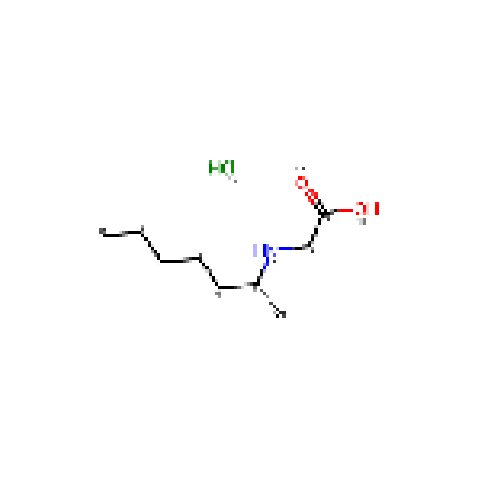 CCCCC[C@@H](C)NCC(=O)O.Cl